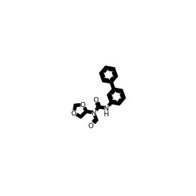 O=CN(C(=O)Nc1cccc(-c2ccccc2)c1)C1COCO1